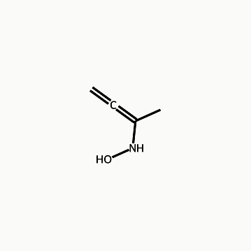 C=C=C(C)NO